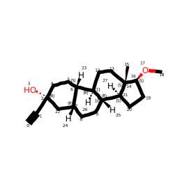 C#C[C@@]1(O)CC[C@H]2[C@H](CC[C@@H]3[C@@H]2CC[C@]2(C)[C@@H](OC)CC[C@@H]32)C1